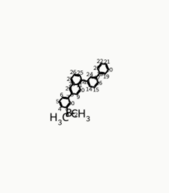 CB(C)c1cccc(-c2ccc3c(-c4cccc(-c5ccccc5)c4)cccc3c2)c1